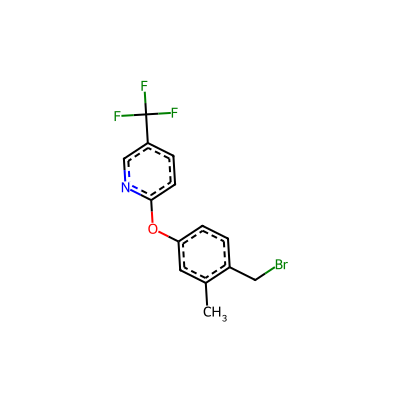 Cc1cc(Oc2ccc(C(F)(F)F)cn2)ccc1CBr